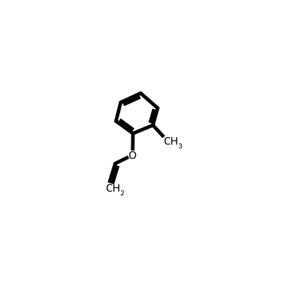 C=COc1ccccc1C